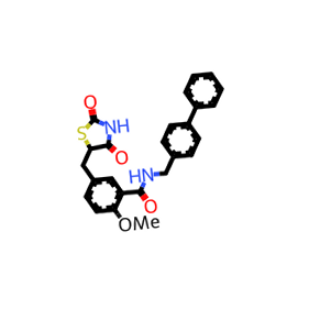 COc1ccc(CC2SC(=O)NC2=O)cc1C(=O)NCc1ccc(-c2ccccc2)cc1